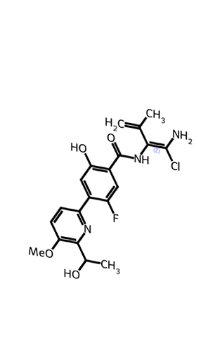 C=C(C)/C(NC(=O)c1cc(F)c(-c2ccc(OC)c(C(C)O)n2)cc1O)=C(\N)Cl